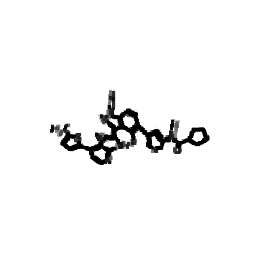 Cc1ccc(-c2ccnc3[nH]c(-c4n[nH]c5ccc(-c6cncc(NC(=O)C7CCCC7)c6)c(F)c45)nc23)s1